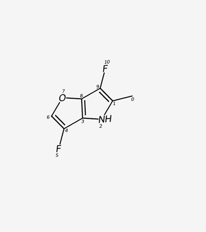 Cc1[nH]c2c(F)coc2c1F